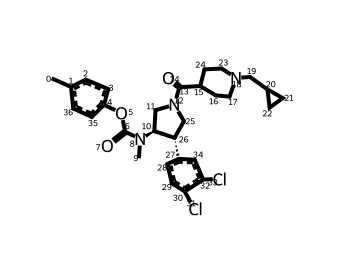 Cc1ccc(OC(=O)N(C)[C@H]2CN(C(=O)C3CCN(CC4CC4)CC3)C[C@@H]2c2ccc(Cl)c(Cl)c2)cc1